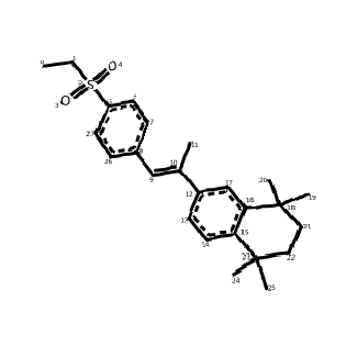 CCS(=O)(=O)c1ccc(C=C(C)c2ccc3c(c2)C(C)(C)CCC3(C)C)cc1